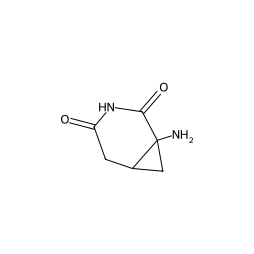 NC12CC1CC(=O)NC2=O